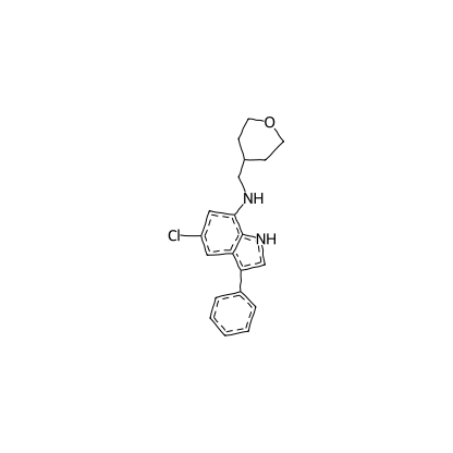 Clc1cc(NCC2CCOCC2)c2[nH]cc(-c3ccccc3)c2c1